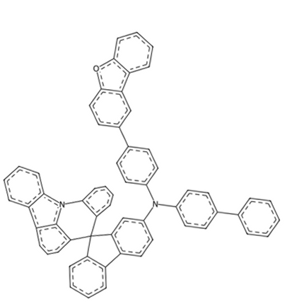 c1ccc(-c2ccc(N(c3ccc(-c4ccc5oc6ccccc6c5c4)cc3)c3ccc4c(c3)C3(c5ccccc5-4)c4ccccc4-n4c5ccccc5c5cccc3c54)cc2)cc1